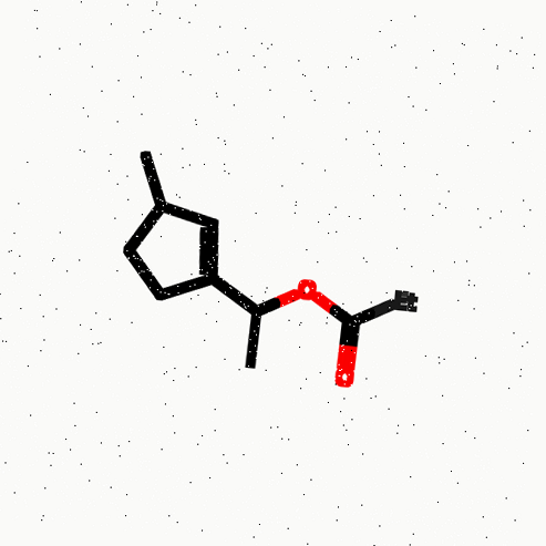 CCC(=O)OC(C)C1=CC(C)CC1